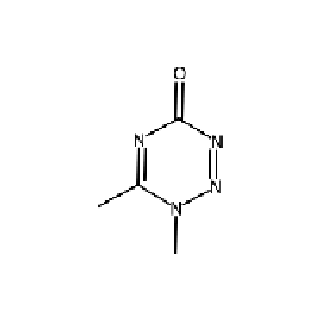 Cc1nc(=O)nnn1C